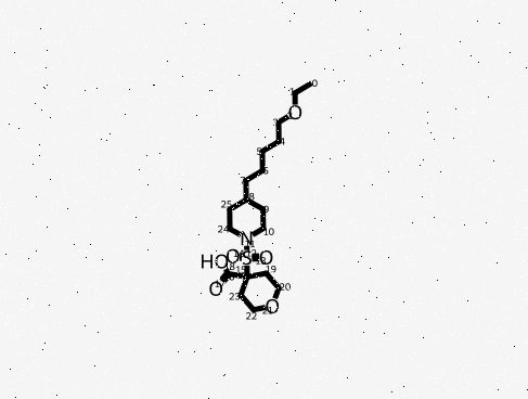 CCOCCCCCC1CCN(S(=O)(=O)C2(C(=O)O)CCOCC2)CC1